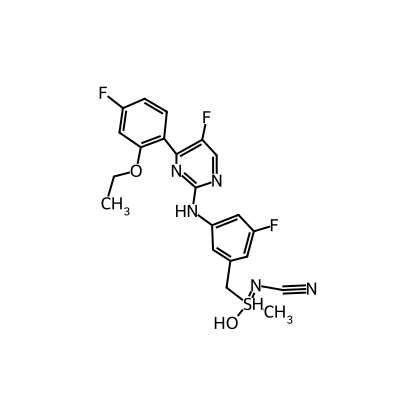 CCOc1cc(F)ccc1-c1nc(Nc2cc(F)cc(C[SH](C)(O)=NC#N)c2)ncc1F